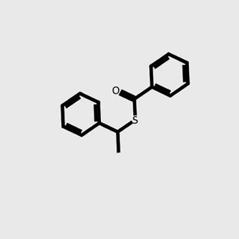 CC(SC(=O)c1ccccc1)c1ccccc1